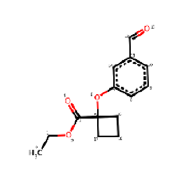 CCOC(=O)C1(Oc2cccc(C=O)c2)CCC1